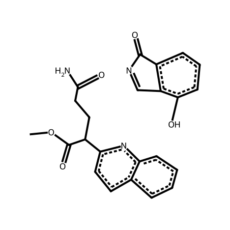 COC(=O)C(CCC(N)=O)c1ccc2ccccc2n1.O=C1N=Cc2c(O)cccc21